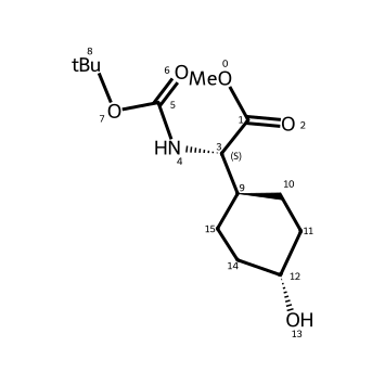 COC(=O)[C@@H](NC(=O)OC(C)(C)C)[C@H]1CC[C@H](O)CC1